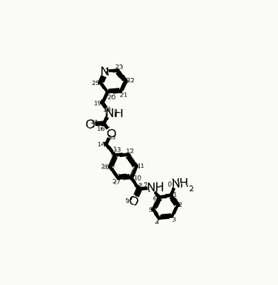 Nc1ccccc1NC(=O)c1ccc(COC(=O)NCc2cccnc2)cc1